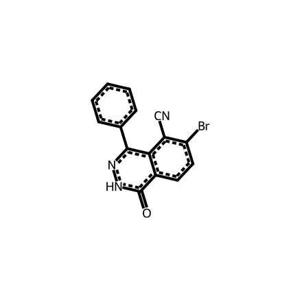 N#Cc1c(Br)ccc2c(=O)[nH]nc(-c3ccccc3)c12